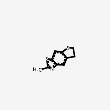 Cc1nc2cc3c(cc2s1)SCC3